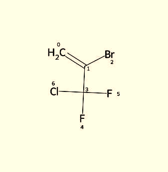 C=C(Br)C(F)(F)Cl